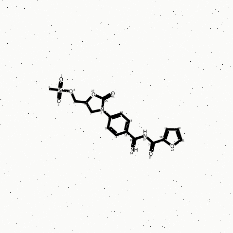 CS(=O)(=O)OCC1CN(c2ccc(C(=N)NC(=O)c3ccco3)cc2)C(=O)O1